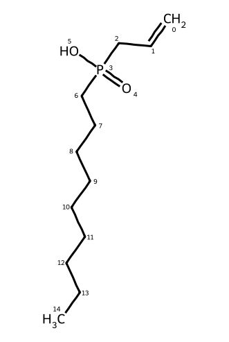 C=CCP(=O)(O)CCCCCCCCC